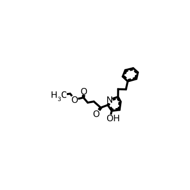 CCOC(=O)CCC(=O)c1nc(CCc2ccccc2)ccc1O